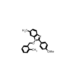 COc1ccc(-c2nc3ccc(C)cc3n2OCc2ccccc2C)cc1